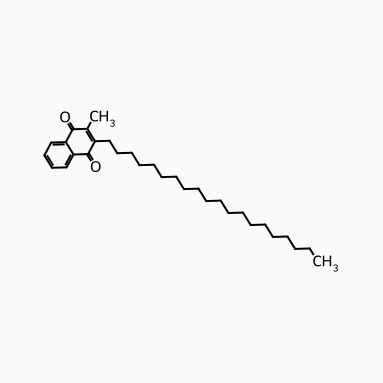 CCCCCCCCCCCCCCCCCCCCC1=C(C)C(=O)c2ccccc2C1=O